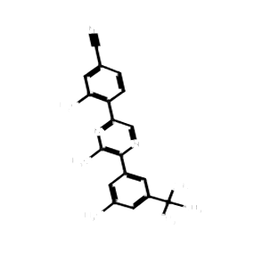 Cc1cc(-c2ncc(-c3ccc(C#N)cc3C)nc2C)cc(C(C)(C)C)c1